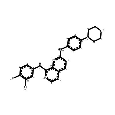 Fc1ccc(Nc2ncnc3cnc(Nc4ccc(N5CCOCC5)cc4)nc23)cc1Cl